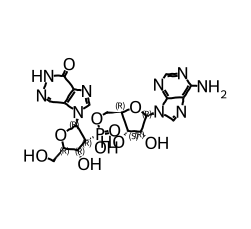 Nc1ncnc2c1ncn2[C@@H]1O[C@H](COP(=O)(O)[C@@H]2[C@H](O)[C@@H](CO)O[C@H]2n2cnc3c(=O)[nH]ncc32)[C@@H](O)[C@H]1O